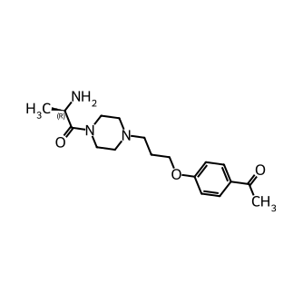 CC(=O)c1ccc(OCCCN2CCN(C(=O)[C@@H](C)N)CC2)cc1